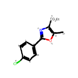 CCOC(=O)c1nc(-c2ccc(Cl)cc2)oc1C